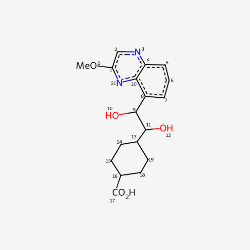 COc1cnc2cccc(C(O)C(O)C3CCC(C(=O)O)CC3)c2n1